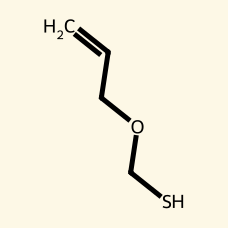 C=CCOCS